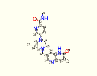 CNC(=O)c1ccc(N2CCN(Cc3cnc4cc(C)c(=O)[nH]c4c3)C3C(C)=C32)cn1